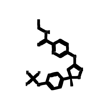 CCNC(=O)c1ccc(OC2=NO[C@](C)(c3ccc(OC(F)(F)F)cc3)C2)cn1